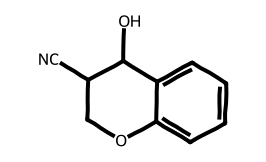 N#CC1COc2ccccc2C1O